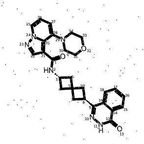 O=C(N[C@H]1CC2(C1)C[C@H](c1n[nH]c(=O)c3ccccc31)C2)c1cnn2cccc(N3CCOCC3)c12